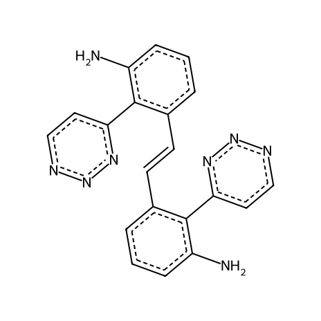 Nc1cccc(/C=C/c2cccc(N)c2-c2ccnnn2)c1-c1ccnnn1